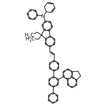 CCC1(CC)c2cc(/C=C/c3ccc(-c4ccc(-c5ccccc5)cc4-c4ccc5c6c(cccc46)CC5)cc3)ccc2-c2ccc(N(c3ccccc3)C3C=CC=CC3)cc21